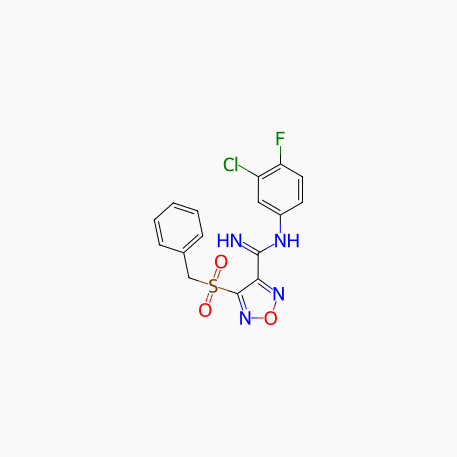 N=C(Nc1ccc(F)c(Cl)c1)c1nonc1S(=O)(=O)Cc1ccccc1